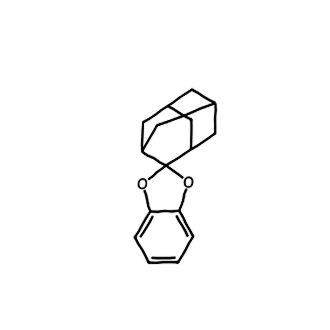 c1ccc2c(c1)OC1(O2)C2CC3CC(C2)CC1C3